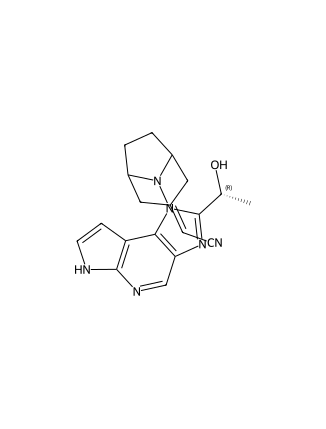 C[C@@H](O)c1nc2cnc3[nH]ccc3c2n1N1C2CCC1CC(=CC#N)C2